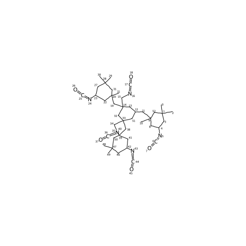 CC1(C)CC(N=C=O)CC(C)(CC2CC(CN=C=O)(CC3(C)CC(N=C=O)CC(C)(C)C3)CC(CN=C=O)(CC3(C)CC(N=C=O)CC(C)(C)C3)C2)C1